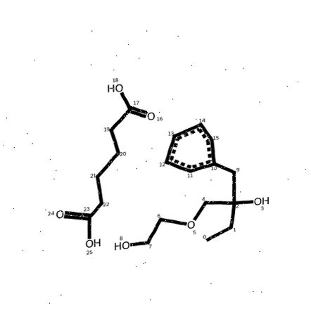 CCC(O)(COCCO)Cc1ccccc1.O=C(O)CCCCC(=O)O